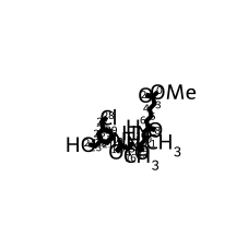 COC(=O)CCCCC(=O)NC(C)C(=O)N[C@@H](C)C(=O)Nc1cc(CO)cc(CCl)c1